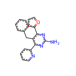 Nc1nc(-c2ccccn2)c(Cc2ccccc2)c(-c2ccco2)n1